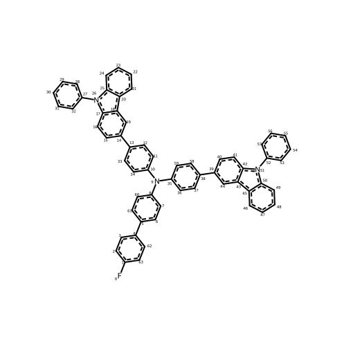 Fc1ccc(-c2ccc(N(c3ccc(-c4ccc5c(c4)c4ccccc4n5-c4ccccc4)cc3)c3ccc(-c4ccc5c(c4)c4ccccc4n5-c4ccccc4)cc3)cc2)cc1